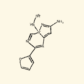 CCCN[N+]12C=NC(c3ccco3)=NC1=CC(N)=N2